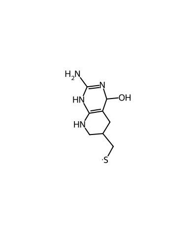 NC1=NC(O)C2=C(NCC(C[S])C2)N1